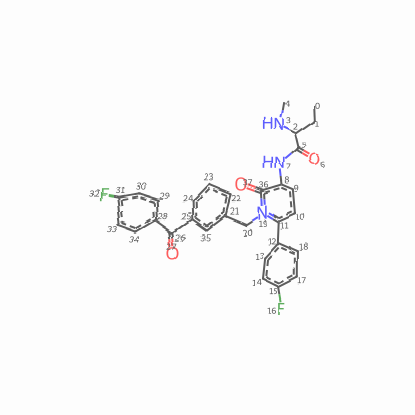 CCC(NC)C(=O)Nc1ccc(-c2ccc(F)cc2)n(Cc2cccc(C(=O)c3ccc(F)cc3)c2)c1=O